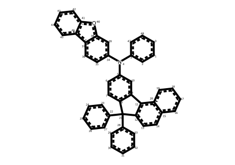 c1ccc(N(c2ccc3c(c2)-c2c(ccc4ccccc24)C3(c2ccccc2)c2ccccc2)c2ccc3c(c2)oc2ccccc23)cc1